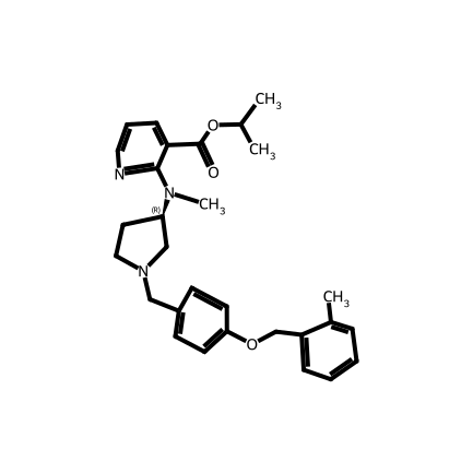 Cc1ccccc1COc1ccc(CN2CC[C@@H](N(C)c3ncccc3C(=O)OC(C)C)C2)cc1